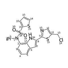 CC(C)N(c1cccc2cc(-c3ncc(CCl)s3)[nH]c12)S(=O)(=O)c1cccs1